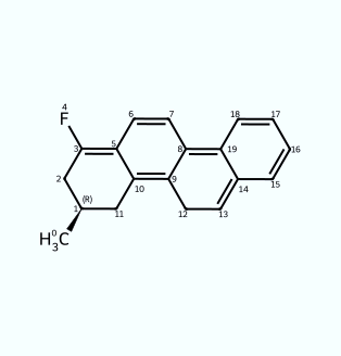 C[C@H]1CC(F)=c2ccc3c(c2C1)CC=c1ccccc1=3